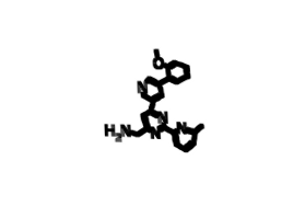 COc1ccccc1-c1cncc(-c2cc(CN)nc(-c3cccc(C)n3)n2)c1